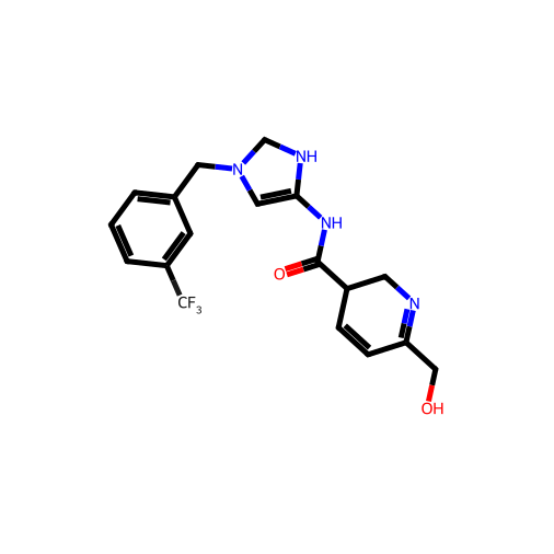 O=C(NC1=CN(Cc2cccc(C(F)(F)F)c2)CN1)C1C=CC(CO)=NC1